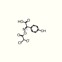 O=C(O)/C(=N/OC(=O)C(Cl)Cl)c1ccc(O)cc1